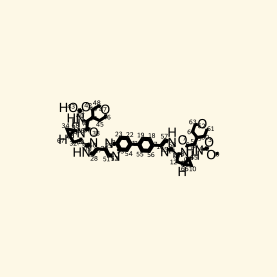 COC(=O)N[C@H](C(=O)N1[C@@H]2C[C@@H]2C[C@H]1c1nc(-c2ccc(-c3ccc4nc(-c5c[nH]c([C@@H]6C[C@H]7C[C@H]7N6C(=O)[C@@H](NC(=O)O)C6CCOCC6)n5)cnc4c3)cc2)c[nH]1)C1CCOCC1